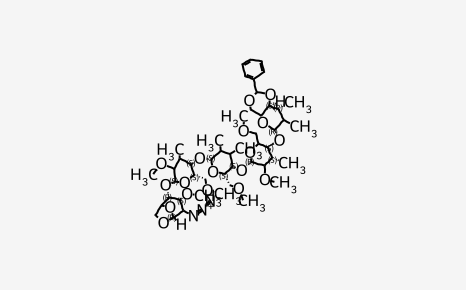 COCC1O[C@@H](O[C@H]2C(C)C(C)[C@@H](O[C@H]3C(C)C(OC)[C@H](O[C@H]4C5CO[C@H](O5)C(N=[N+]=[N-])[C@@H]4OC)O[C@H]3COC)O[C@H]2COC)C(OC)[C@@H](C)[C@@H]1O[C@@H]1OC2COC(c3ccccc3)O[C@H]2[C@H](C)C1C